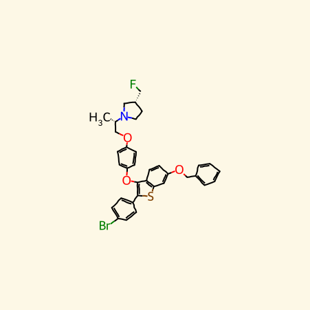 C[C@@H](COc1ccc(Oc2c(-c3ccc(Br)cc3)sc3cc(OCc4ccccc4)ccc23)cc1)N1CC[C@@H](CF)C1